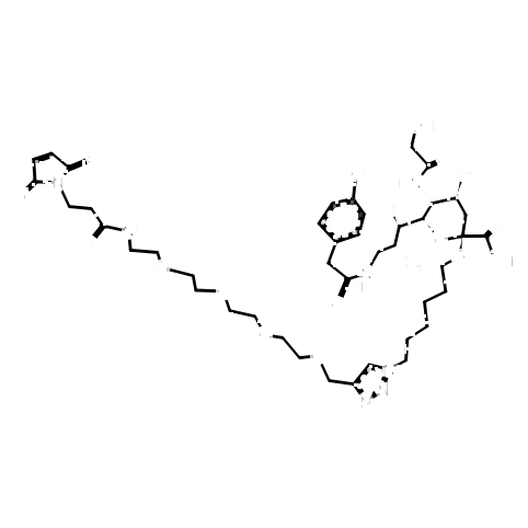 O=C(CCN1C(=O)C=CC1=O)NCCOCCOCCOCCOCc1cn(CCCCCCO[C@]2(C(=O)O)C[C@H](O)[C@@H](NC(=O)CO)[C@H]([C@H](O)[C@H](O)CNC(=O)Cc3ccc(Cl)cc3)O2)nn1